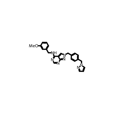 COc1cccc(CNc2ncnc3nn(Cc4ccc(Cn5cccn5)cc4)cc23)c1